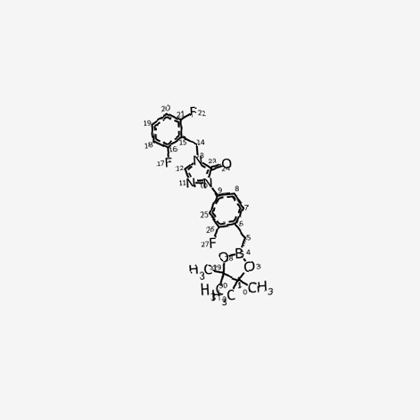 CC1(C)OB(Cc2ccc(-n3ncn(Cc4c(F)cccc4F)c3=O)cc2F)OC1(C)C